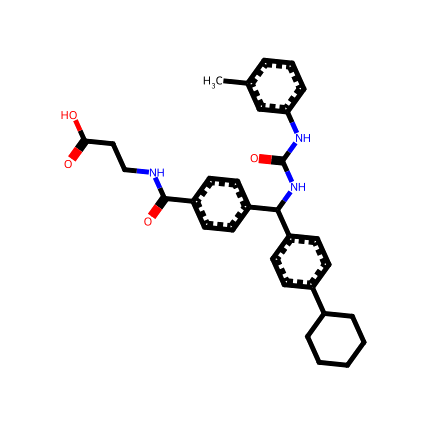 Cc1cccc(NC(=O)NC(c2ccc(C(=O)NCCC(=O)O)cc2)c2ccc(C3CCCCC3)cc2)c1